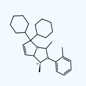 Cc1ccccc1N1C(C)N2C(C=CC2(C2CCCCC2)C2CCCCC2)[C@@H]1C